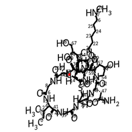 CC[C@H](C)C1NC(=O)CNC(=O)[C@@H]2Cc3c([nH]c4cc(OCCCCCCNC)ccc34)[S+]([O-])C[C@H](NC(=O)CNC1=O)C(=O)N[C@@H](CC(N)=O)C(=O)N1C[C@H](O)C[C@H]1C(=O)N[C@@H]([C@@H](C)[C@@H](O)CO)C(=O)N2